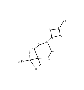 CN1CC(N2CCC(C)(C(F)(F)F)CC2)C1